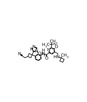 Cn1cnnc1C1(c2cccc(NC(=O)c3cc(CNC4(C)CCC4)c4c(n3)C(C)(C)CO4)c2)CC(CC#N)C1